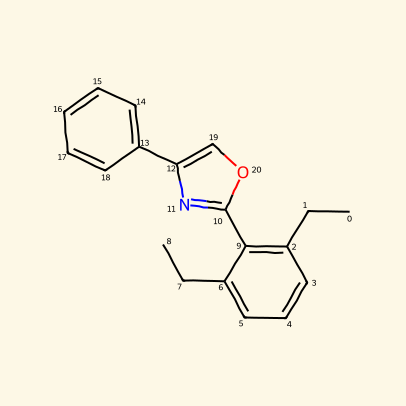 CCc1cccc(CC)c1-c1nc(-c2ccccc2)co1